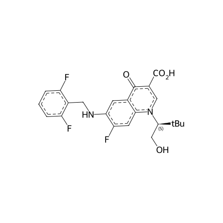 CC(C)(C)[C@@H](CO)n1cc(C(=O)O)c(=O)c2cc(NCc3c(F)cccc3F)c(F)cc21